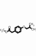 COC(=O)Cc1ccc(OCC(C)C)cc1